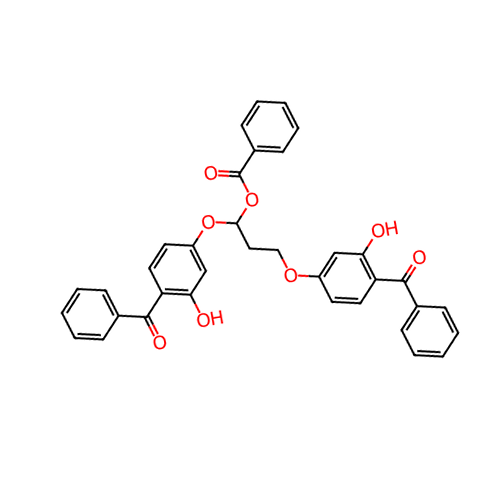 O=C(OC(CCOc1ccc(C(=O)c2ccccc2)c(O)c1)Oc1ccc(C(=O)c2ccccc2)c(O)c1)c1ccccc1